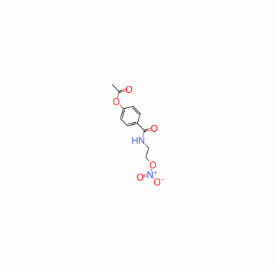 CC(=O)Oc1ccc(C(=O)NCCO[N+](=O)[O-])cc1